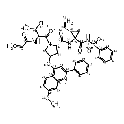 C=CC(=O)N[C@H](C(=O)N1CC(Oc2cc(-c3ccccc3)nc3cc(OC)ccc23)C[C@H]1C(=O)N[C@]1(C(=O)NS(=O)(=O)c2ccccc2)C[C@H]1C=C)C(C)C